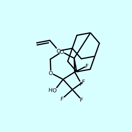 C=COC12CC3CC(C1)C1(OCOC(O)(C(F)(F)F)C1(F)F)C(C3)C2